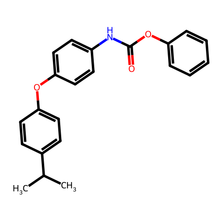 CC(C)c1ccc(Oc2ccc(NC(=O)Oc3ccccc3)cc2)cc1